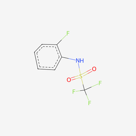 O=S(=O)(Nc1ccccc1F)C(F)(F)F